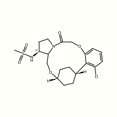 CS(=O)(=O)N[C@H]1CCN2C(=O)COc3cccc(Cl)c3[C@H]3CC[C@H](CC3)OCC12